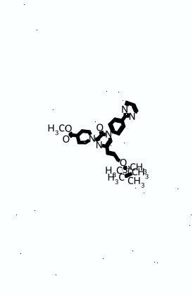 COC(=O)C1CCN(c2nc(/C=C/CO[Si](C)(C)C(C)(C)C)cn(-c3ccc(-c4ncccn4)cc3)c2=O)CC1